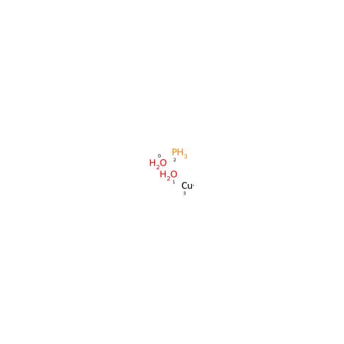 O.O.P.[Cu]